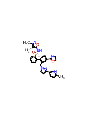 Cc1ccc(-c2ccn(Cc3cc(-c4ncco4)ccc3-c3ccccc3S(=O)(=O)Nc3onc(C)c3C)n2)cn1